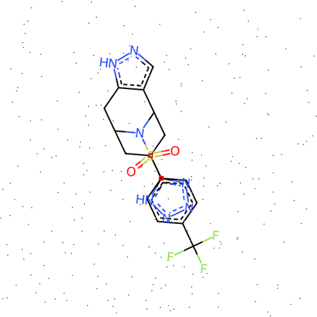 O=S(=O)(c1ccc(C(F)(F)F)cc1)N1C2Cc3[nH]ncc3C1CC(c1nnn[nH]1)C2